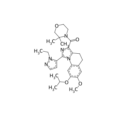 CCn1nccc1-c1nc(C(=O)N2CCOCC2(C)C)c2n1-c1cc(OC(C)C)c(OC)cc1CC2